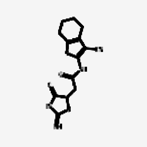 N#Cc1c(NC(=O)CC2SC(=N)NC2=O)sc2c1CCCC2